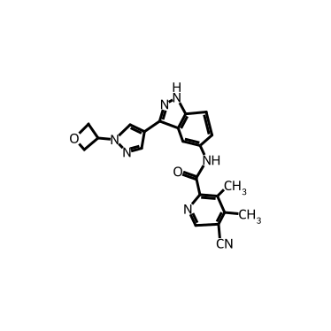 Cc1c(C#N)cnc(C(=O)Nc2ccc3[nH]nc(-c4cnn(C5COC5)c4)c3c2)c1C